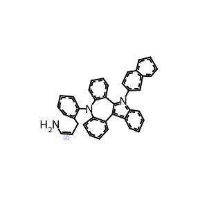 N/C=C\Cc1ccccc1N1c2ccccc2-c2c(n(-c3ccc4ccccc4c3)c3ccccc23)-c2ccccc21